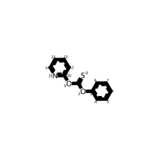 S=C(Oc1ccccc1)Oc1ccccn1